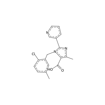 Cc1ccc(Cl)c(Cn2c(-c3cccnc3)nc(C)c2C(=O)O)c1